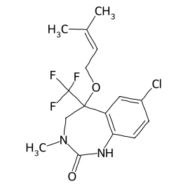 CC(C)=CCOC1(C(F)(F)F)CN(C)C(=O)Nc2ccc(Cl)cc21